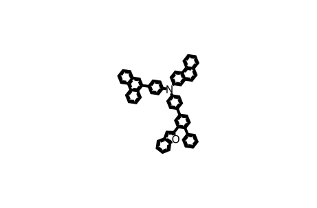 c1ccc(-c2ccc(-c3ccc(N(c4ccc(-c5cc6ccccc6c6ccccc56)cc4)c4ccc5c(ccc6ccccc65)c4)cc3)cc2-c2cc3ccccc3o2)cc1